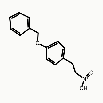 O=[N+](O)CCc1ccc(OCc2ccccc2)cc1